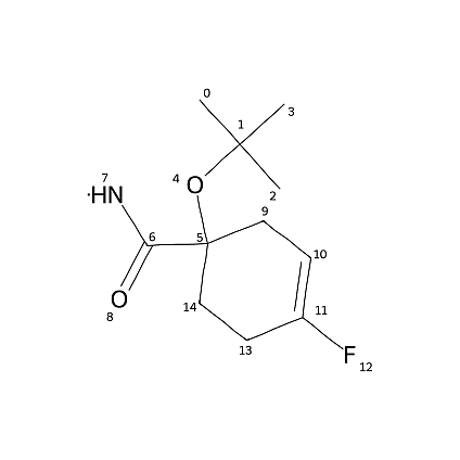 CC(C)(C)OC1(C([NH])=O)CC=C(F)CC1